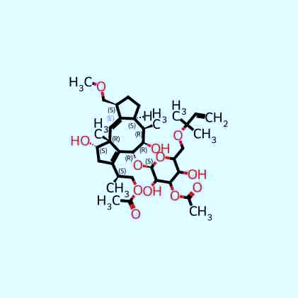 C=CC(C)(C)OCC1O[C@H](O[C@@H]2C3=C([C@H](C)COC(C)=O)C[C@H](O)[C@]3(C)/C=C3/[C@@H](COC)CC[C@H]3[C@@H](C)[C@H]2O)C(O)C(OC(C)=O)C1O